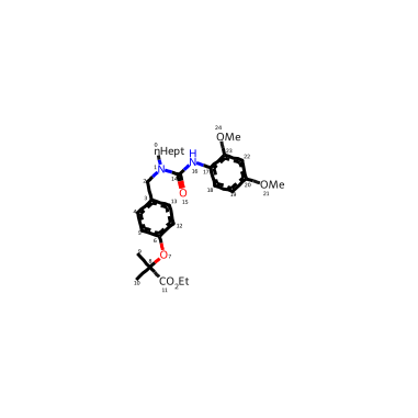 CCCCCCCN(Cc1ccc(OC(C)(C)C(=O)OCC)cc1)C(=O)Nc1ccc(OC)cc1OC